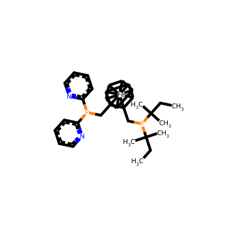 CCC(C)(C)P(C[C]12[CH]3[CH]4[CH]5[C]1(CP(c1ccccn1)c1ccccn1)[Fe]45321678[CH]2[CH]1[CH]6[CH]7[CH]28)C(C)(C)CC